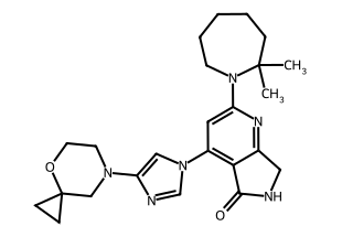 CC1(C)CCCCCN1c1cc(-n2cnc(N3CCOC4(CC4)C3)c2)c2c(n1)CNC2=O